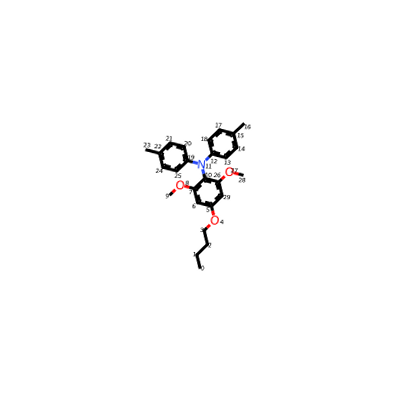 CCCCOc1cc(OC)c(N(c2ccc(C)cc2)c2ccc(C)cc2)c(OC)c1